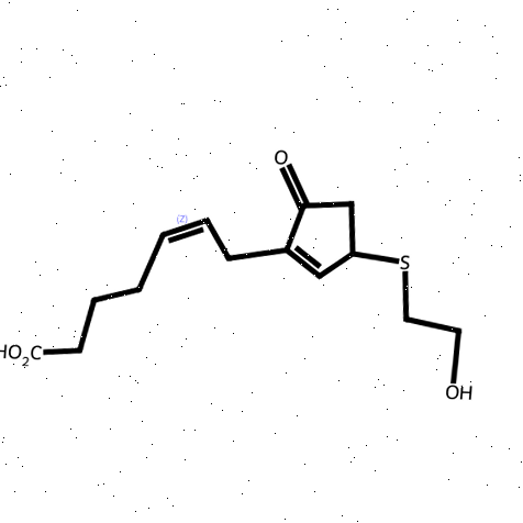 O=C(O)CCC/C=C\CC1=CC(SCCO)CC1=O